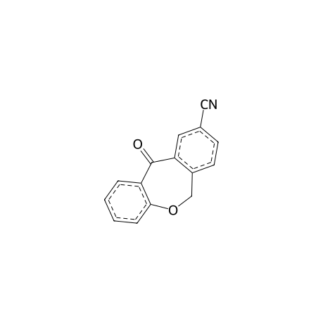 N#Cc1ccc2c(c1)C(=O)c1ccccc1OC2